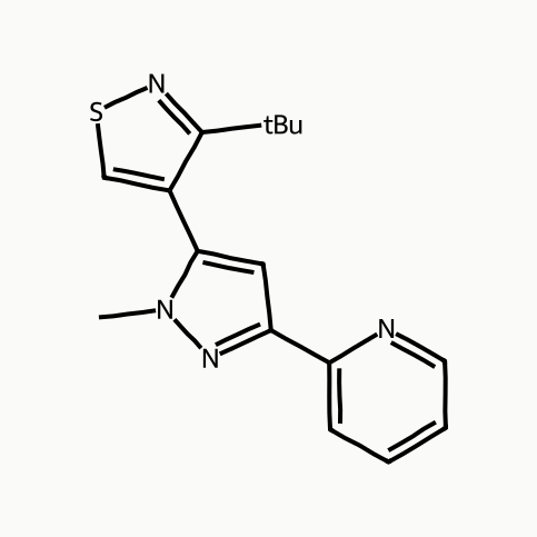 Cn1nc(-c2ccccn2)cc1-c1csnc1C(C)(C)C